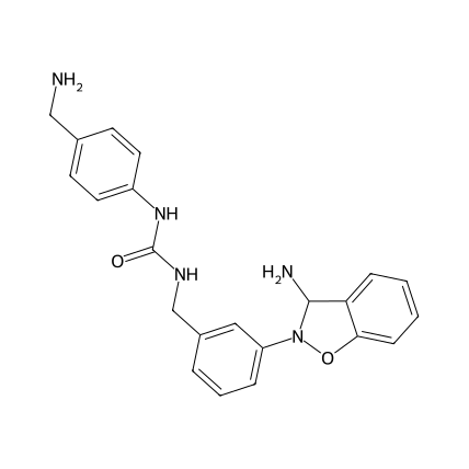 NCc1ccc(NC(=O)NCc2cccc(N3Oc4ccccc4C3N)c2)cc1